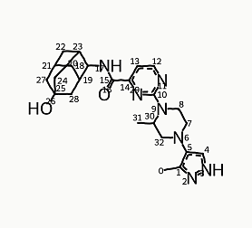 Cc1n[nH]cc1N1CCN(c2nccc(C(=O)NC3C4CC5CC3CC(O)(C5)C4)n2)C(C)C1